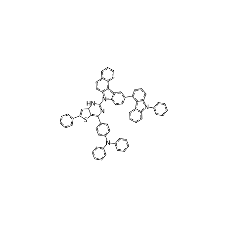 C1=C(c2ccccc2)SC2=C(c3ccc(N(c4ccccc4)c4ccccc4)cc3)N=C(n3c4ccc(-c5cccc6c5c5ccccc5n6-c5ccccc5)cc4c4c5ccccc5ccc43)NC12